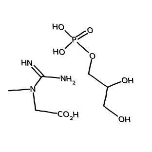 CN(CC(=O)O)C(=N)N.O=P(O)(O)OCC(O)CO